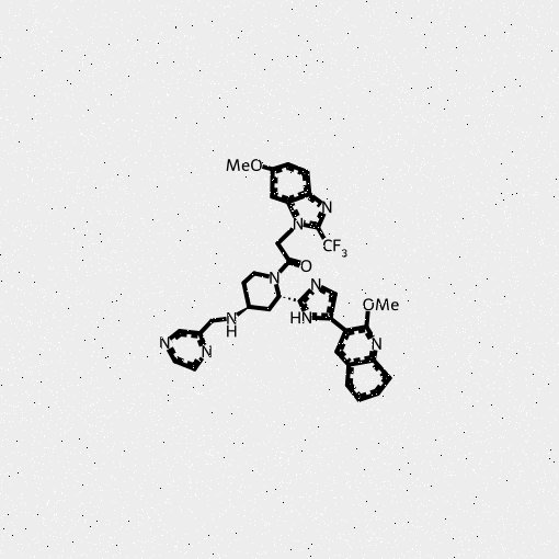 COc1ccc2nc(C(F)(F)F)n(CC(=O)N3CC[C@H](NCc4cnccn4)C[C@H]3c3ncc(-c4cc5ccccc5nc4OC)[nH]3)c2c1